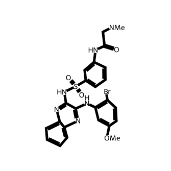 CNCC(=O)Nc1cccc(S(=O)(=O)Nc2nc3ccccc3nc2Nc2cc(OC)ccc2Br)c1